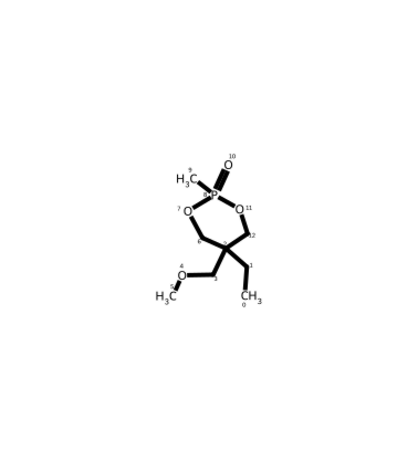 CCC1(COC)COP(C)(=O)OC1